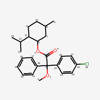 COC(C(=O)OC1CC(C)CCC1C(C)C)(c1ccccc1)c1ccc(Cl)cc1